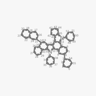 c1ccc(-c2ccc3c(c2)c2c(c4cc(-c5ccc6ccccc6c5)c5ccccc5c4n2-c2ccccc2)c2c4ccccc4n(-c4ccccc4)c32)cc1